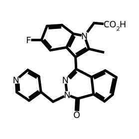 Cc1c(-c2nn(Cc3ccncc3)c(=O)c3ccccc23)c2cc(F)ccc2n1CC(=O)O